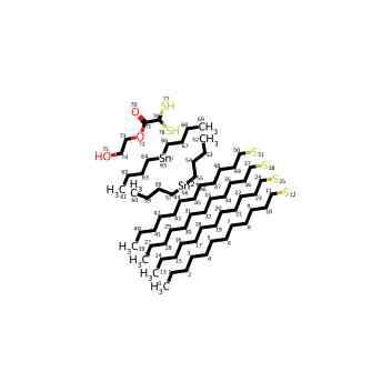 CCCCCCCCCCCC[S-].CCCCCCCCCCCC[S-].CCCCCCCCCCCC[S-].CCCCCCCCCCCC[S-].CCC[CH2][Sn+2][CH2]CCC.CCC[CH2][Sn][CH2]CCC.O=C(OCCO)C(S)S